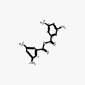 Cc1cc(C)cc(C(=O)OC(=O)c2cc(C)cc(C)c2)c1